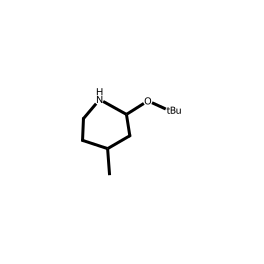 CC1CCNC(OC(C)(C)C)C1